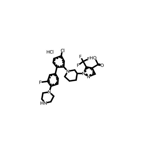 Cl.O=C(O)c1cnn(C2CCCN(c3cc(Cl)ccc3-c3ccc(N4CCNCC4)c(F)c3)C2)c1C(F)(F)F